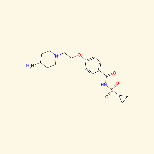 NC1CCN(CCOc2ccc(C(=O)NS(=O)(=O)C3CC3)cc2)CC1